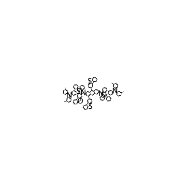 Cc1cccc(N(c2ccc([Si]3(c4ccccc4)c4ccccc4N(c4ccc5c(-c6ccc7sc8ccccc8c7c6)c6cc(N7c8ccccc8[Si](c8ccccc8)(c8ccc(N(c9cccc(C)c9)c9cccc(C)c9)cc8)c8cc9c(cc87)oc7ccccc79)cc(-c7ccc8sc9ccccc9c8c7)c6cc5c4)c4ccccc43)cc2)c2cccc(C)c2)c1